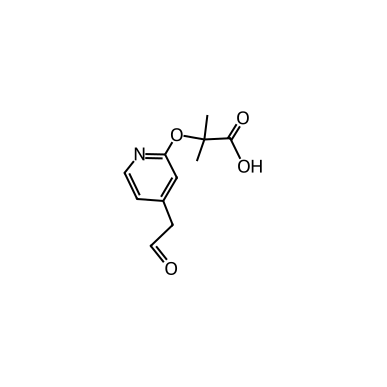 CC(C)(Oc1cc(CC=O)ccn1)C(=O)O